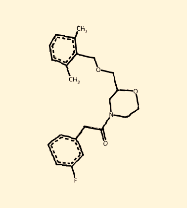 Cc1cccc(C)c1COCC1CN(C(=O)Cc2cccc(F)c2)CCO1